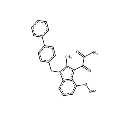 CC(=O)OOc1cccc2c1c(C(=O)C(N)=O)c(C)n2Cc1ccc(-c2ccccc2)cc1